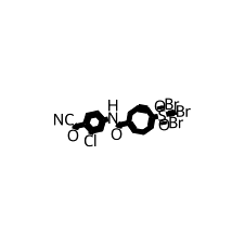 N#CC(=O)c1ccc(NC(=O)/C2=C/C/C=C(/S(=O)(=O)C(Br)(Br)Br)C#CC2)cc1Cl